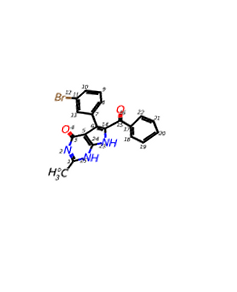 Cc1nc(=O)c2c(-c3cccc(Br)c3)c(C(=O)c3ccccc3)[nH]c2[nH]1